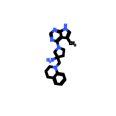 Cc1c[nH]c2ncnc(N3CCC(N)(CN4CCCc5ccccc54)C3)c12